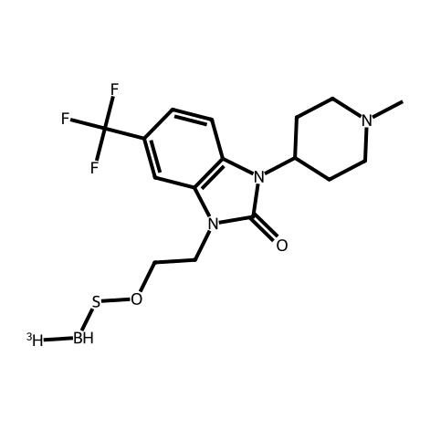 [3H]BSOCCn1c(=O)n(C2CCN(C)CC2)c2ccc(C(F)(F)F)cc21